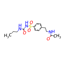 CCCNC(=O)NS(=O)(=O)c1ccc(CCNC(C)=O)cc1